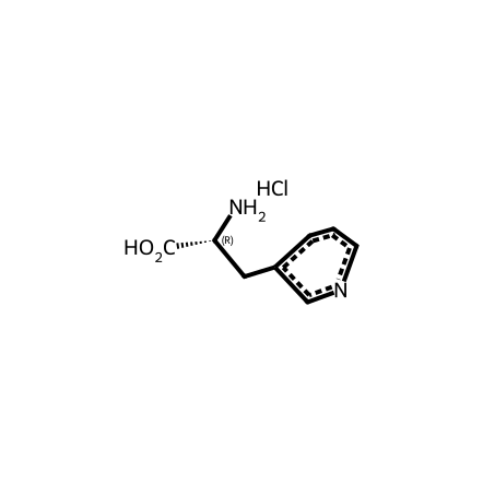 Cl.N[C@H](Cc1cccnc1)C(=O)O